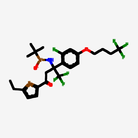 CCc1ccc(C(=O)CC(N[S+]([O-])C(C)(C)C)(c2ccc(OCCCC(F)(F)F)cc2F)C(F)(F)F)s1